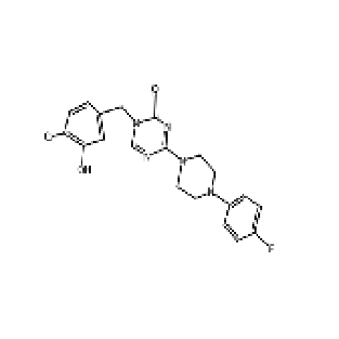 O=c1nc(N2CCN(c3ccc(F)cc3)CC2)ncn1Cc1ccc(Cl)c(O)c1